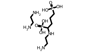 NCCN.NCCNC(CCCP(=O)(O)O)P(=O)(O)O